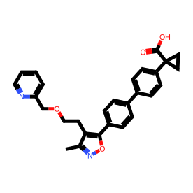 Cc1noc(-c2ccc(-c3ccc(C4(C(=O)O)CC4)cc3)cc2)c1CCOCc1ccccn1